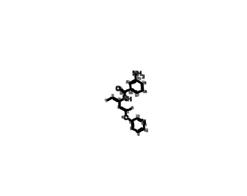 C/C=C(\C=C(/C)Oc1cccnc1)NC(=O)c1cccc(N)c1